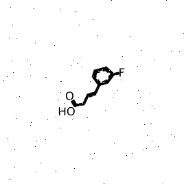 O=C(O)CC=Cc1cccc(F)c1